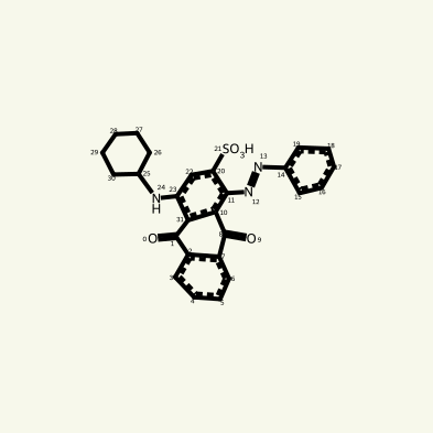 O=C1c2ccccc2C(=O)c2c(/N=N/c3ccccc3)c(S(=O)(=O)O)cc(NC3CCCCC3)c21